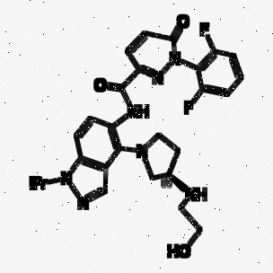 CC(C)n1ncc2c(N3CC[C@@H](NCCO)C3)c(NC(=O)c3ccc(=O)n(-c4c(F)cccc4F)n3)ccc21